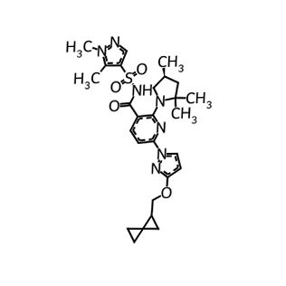 Cc1c(S(=O)(=O)NC(=O)c2ccc(-n3ccc(OCC4CC45CC5)n3)nc2N2C[C@@H](C)CC2(C)C)cnn1C